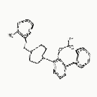 CC(C)C(=O)Oc1c(-c2ccccc2)ccnc1N1CCN(Cc2ccccc2C#N)CC1